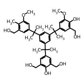 COc1cc(C(C)(C)c2cc(C(C)(C)c3cc(CO)c(O)c(CO)c3)cc(C(C)(C)c3cc(CO)c(O)c(OC)c3)c2)cc(CO)c1C